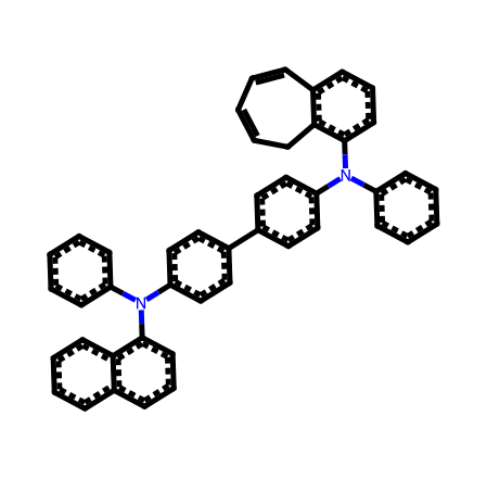 C1=CCc2c(cccc2N(c2ccccc2)c2ccc(-c3ccc(N(c4ccccc4)c4cccc5ccccc45)cc3)cc2)C=C1